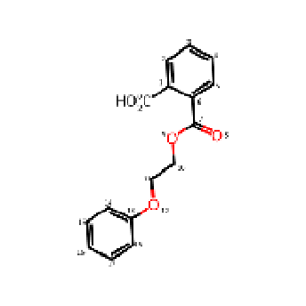 O=C(O)c1ccccc1C(=O)OCCOc1ccccc1